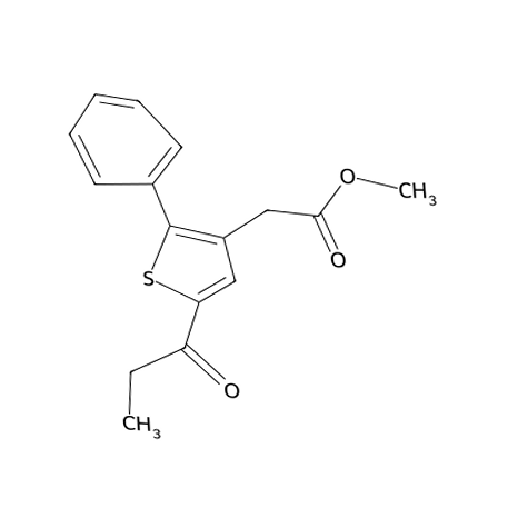 CCC(=O)c1cc(CC(=O)OC)c(-c2ccccc2)s1